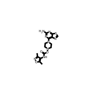 Cc1noc(C)c1NC(=O)ON1CCN(c2nc(N)nc3scnc23)CC1